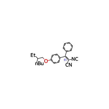 [C-]#[N+]/C(C#N)=C(\c1ccccc1)c1ccc(OCC(CC)CCCC)cc1